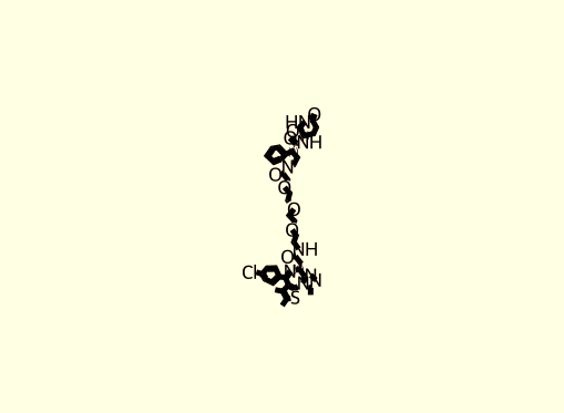 Cc1sc2c(c1C)C(c1ccc(Cl)cc1)=N[C@@H](CC(=O)NCCOCCOCCOCC(=O)N1CC[C@@H](C(=O)N[C@H]3CCC(=O)NC3=O)c3ccccc31)c1nnc(C)n1-2